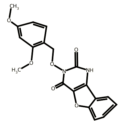 COc1ccc(COn2c(=O)[nH]c3c(oc4ccccc43)c2=O)c(OC)c1